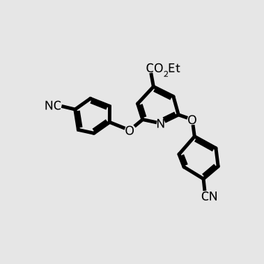 CCOC(=O)c1cc(Oc2ccc(C#N)cc2)nc(Oc2ccc(C#N)cc2)c1